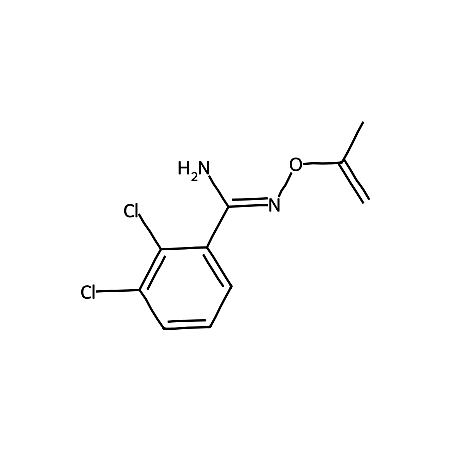 C=C(C)O/N=C(\N)c1cccc(Cl)c1Cl